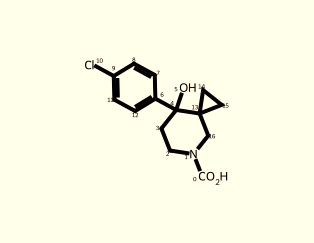 O=C(O)N1CCC(O)(c2ccc(Cl)cc2)C2(CC2)C1